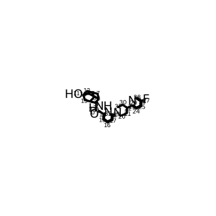 O=C(N[C@H]1C2CC3CC1C[C@](O)(C3)C2)c1cccc(N2CCC(c3ccc(F)cn3)CC2)n1